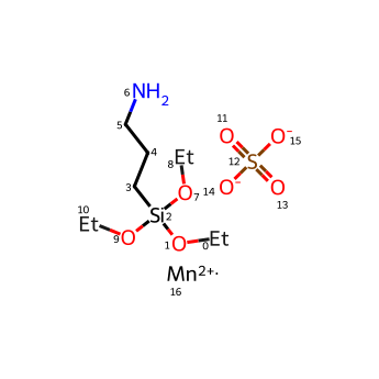 CCO[Si](CCCN)(OCC)OCC.O=S(=O)([O-])[O-].[Mn+2]